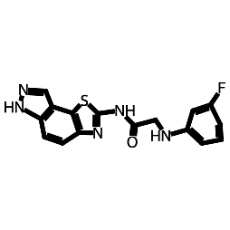 O=C(CNc1cccc(F)c1)Nc1nc2ccc3[nH]ncc3c2s1